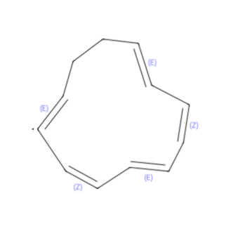 [C]1=C/CC/C=C/C=C\C=C\C=C/1